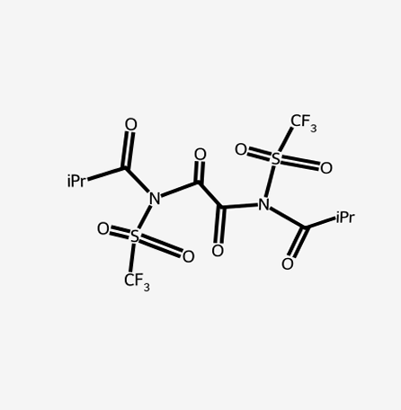 CC(C)C(=O)N(C(=O)C(=O)N(C(=O)C(C)C)S(=O)(=O)C(F)(F)F)S(=O)(=O)C(F)(F)F